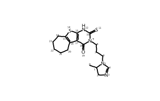 CC1CN=CN1CCCn1c(=S)[nH]c2sc3c(c2c1=O)CCCCC3